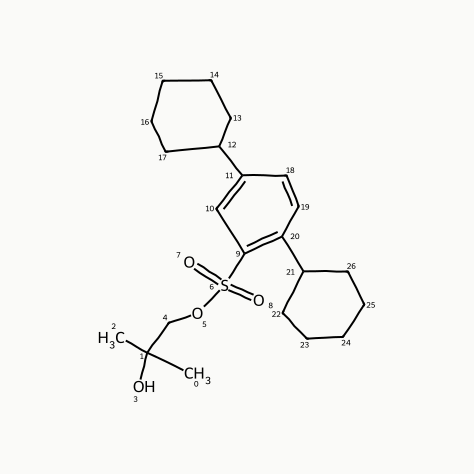 CC(C)(O)COS(=O)(=O)c1cc(C2CCCCC2)ccc1C1CCCCC1